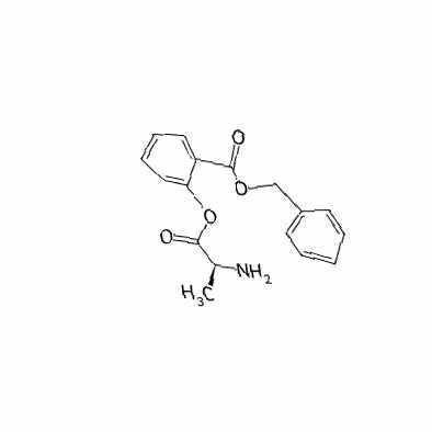 C[C@H](N)C(=O)Oc1ccccc1C(=O)OCc1ccccc1